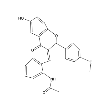 COc1ccc(C2Oc3ccc(O)cc3C(=O)C2=Cc2ccccc2NC(C)=O)cc1